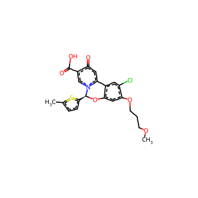 COCCCOc1cc2c(cc1Cl)-c1cc(=O)c(C(=O)O)cn1[C@H](c1ccc(C)s1)O2